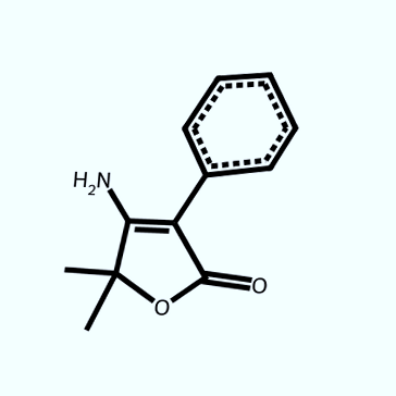 CC1(C)OC(=O)C(c2ccccc2)=C1N